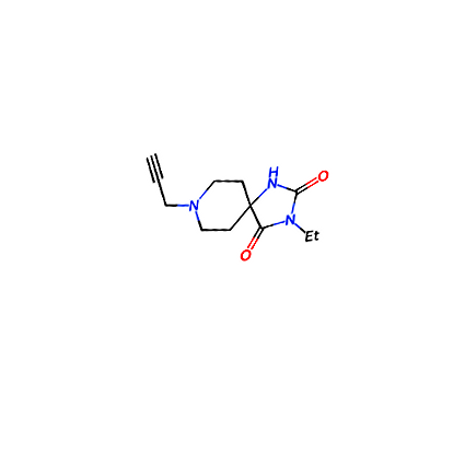 C#CCN1CCC2(CC1)NC(=O)N(CC)C2=O